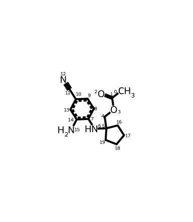 CC(=O)OCC1(Nc2ccc(C#N)cc2N)CCCC1